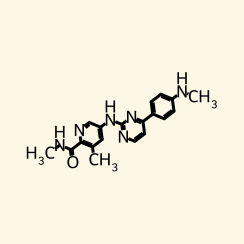 CNC(=O)c1ncc(Nc2nccc(-c3ccc(NC)cc3)n2)cc1C